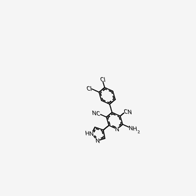 N#Cc1c(N)nc(-c2cn[nH]c2)c(C#N)c1-c1ccc(Cl)c(Cl)c1